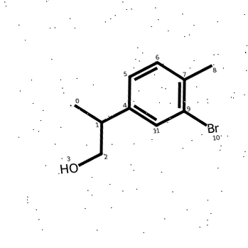 [CH2]C(CO)c1ccc(C)c(Br)c1